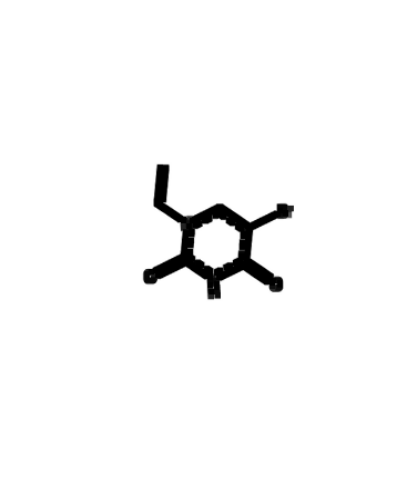 C=Cn1cc(Br)c(=O)[nH]c1=O